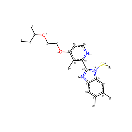 CCC(C)OCCOc1ccnc(-c2nc3cc(C)c(C)cc3n2SC)c1C